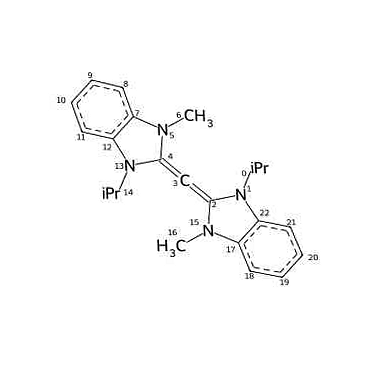 CC(C)N1C(=C=C2N(C)c3ccccc3N2C(C)C)N(C)c2ccccc21